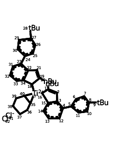 CCCCC1=Cc2c(-c3ccc(C(C)(C)C)cc3)cccc2[CH]1[Ti+2]1([CH]2C(CCCC)=Cc3c(-c4ccc(C(C)(C)C)cc4)cccc32)[CH]2CCCC[CH]21.[Cl-].[Cl-]